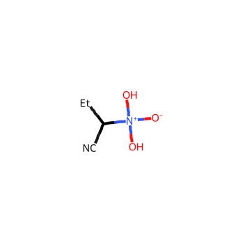 CCC(C#N)[N+]([O-])(O)O